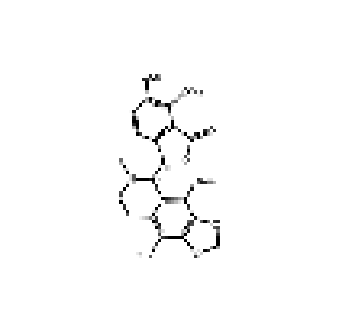 COc1ccc2c(c1OC)C(=O)O[C@@H]2[C@H]1c2c(c([N+](=O)[O-])c3c(c2OC)OCO3)CCN1C